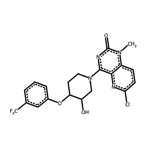 Cn1c(=O)nc(N2CCC(Oc3cccc(C(F)(F)F)c3)C(O)C2)c2nc(Cl)ccc21